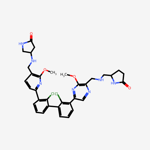 COc1nc(-c2cccc(-c3cccc(-c4cnc(CNCC5CCC(=O)N5)c(OC)n4)c3Cl)c2Cl)ccc1CNC1CNC(=O)C1